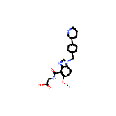 COc1ccc2c(ncn2Cc2ccc(-c3cccnc3)cc2)c1C(=O)NCC(=O)O